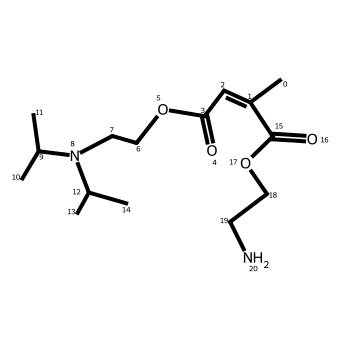 CC(=CC(=O)OCCN(C(C)C)C(C)C)C(=O)OCCN